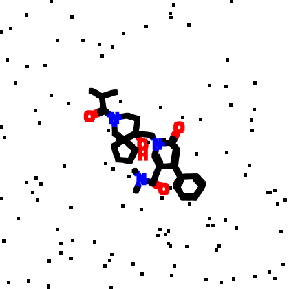 CC(C)C(=O)N1CCC(O)(Cn2cc(C(=O)N(C)C)c(-c3ccccc3)cc2=O)C2(CCCC2)C1